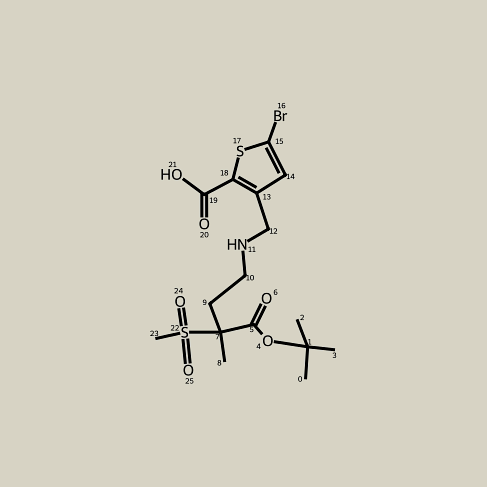 CC(C)(C)OC(=O)C(C)(CCNCc1cc(Br)sc1C(=O)O)S(C)(=O)=O